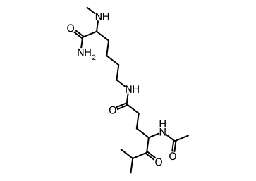 CNC(CCCCNC(=O)CCC(NC(C)=O)C(=O)C(C)C)C(N)=O